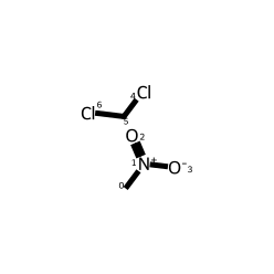 C[N+](=O)[O-].ClCCl